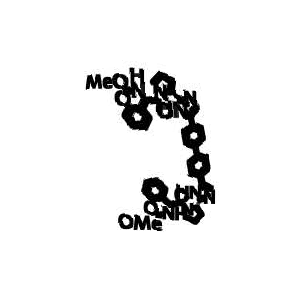 COC(=O)N[C@@H](C(=O)N1CCC[C@H]1c1ncc(-c2ccc(-c3ccc(-c4cnc([C@@H]5CCCN5C(=O)[C@H](NC(=O)OC)c5ccccc5)[nH]4)cc3)cc2)[nH]1)c1ccccc1